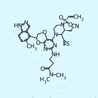 C=CS(=O)(=O)N1CCN(c2nc(NCCC(=O)N(C)C)nc3c2OCC(c2c(C)ccc4[nH]ncc24)O3)C(C2=CS2)[C@@H]1CC#N